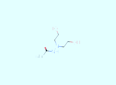 CCCC(=O)NN(CCO)CCO